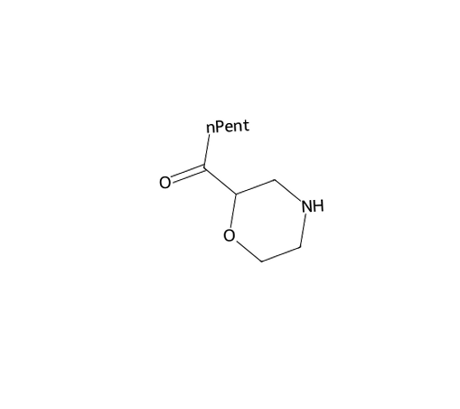 CCCCCC(=O)C1CNCCO1